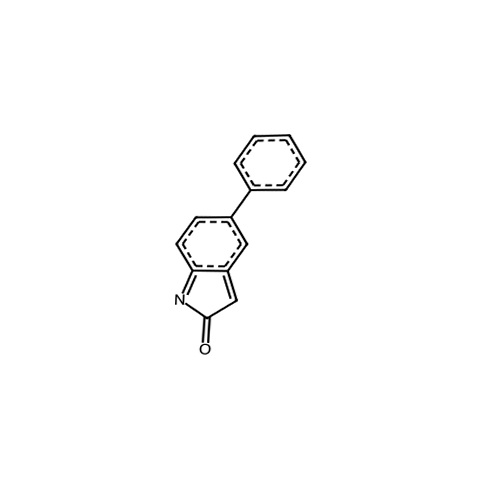 O=C1C=c2cc(-c3ccccc3)ccc2=N1